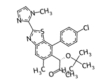 CC(=O)[C@@H](OC(C)(C)C)c1c(C)cc2nc(-c3nccn3C)sc2c1-c1ccc(Cl)cc1